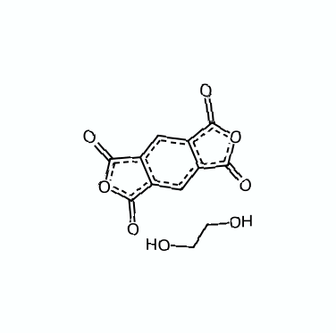 O=c1oc(=O)c2cc3c(=O)oc(=O)c3cc12.OCCO